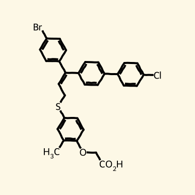 Cc1cc(SCC=C(c2ccc(Br)cc2)c2ccc(-c3ccc(Cl)cc3)cc2)ccc1OCC(=O)O